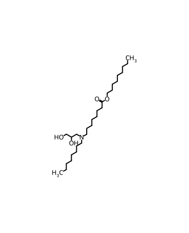 CCCCCCCCCOC(=O)CCCCCCCN(CCCCCCCC)CC(O)CO